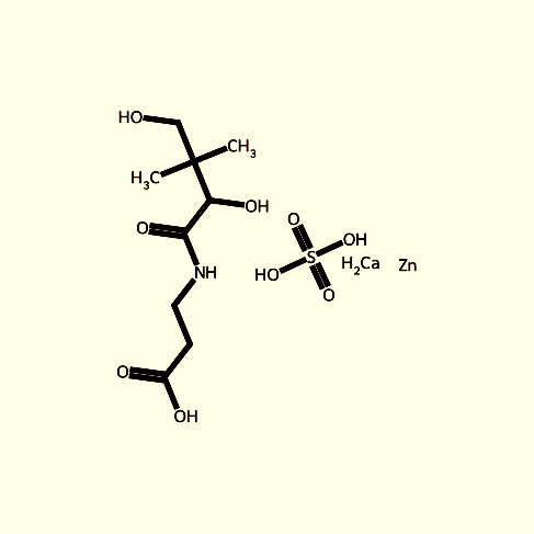 CC(C)(CO)C(O)C(=O)NCCC(=O)O.O=S(=O)(O)O.[CaH2].[Zn]